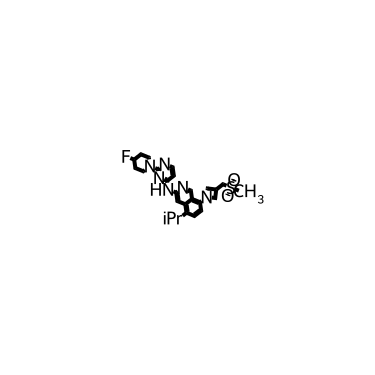 CC(C)c1ccc(N2CC(CS(C)(=O)=O)C2)c2cnc(Nc3ccnc(N4CCC(F)CC4)n3)cc12